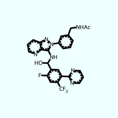 CC(=O)NCc1cccc(-n2nc3cccnc3c2NC(O)c2cc(-c3ncccn3)c(C(F)(F)F)cc2F)c1